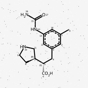 Cc1cc(C[C@H](C(=O)O)[C@H]2CCNC2)cc(NC(N)=O)c1